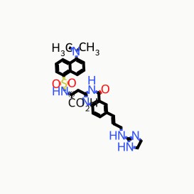 CN(C)c1cccc2c(S(=O)(=O)N[C@@H](Cc3nc4ccc(C=CCNC5=NCCN5)cc4c(=O)[nH]3)C(=O)O)cccc12